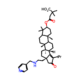 CC(C)C1=C2[C@H]3CCC4[C@@]5(C)CC[C@H](OC(=O)CC(C)(C)C(=O)O)C(C)(C)C5CC[C@@]4(C)[C@]3(C)CC[C@@]2(CCNCc2ccncc2)CC1=O